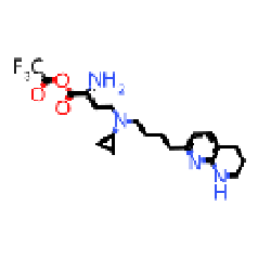 N[C@@H](CCN(CCCCc1ccc2c(n1)NCCC2)C1CC1)C(=O)OC(=O)C(F)(F)F